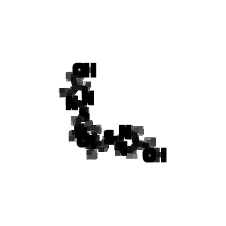 C[Si](C)(CSc1ncc(CO)cn1)O[Si](C)(C)CSc1ncc(CO)cn1